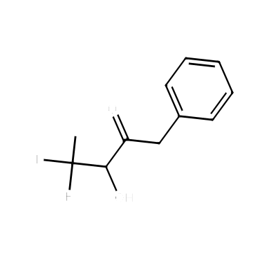 O=C(Cc1ccccc1)C(O)C(F)(F)F